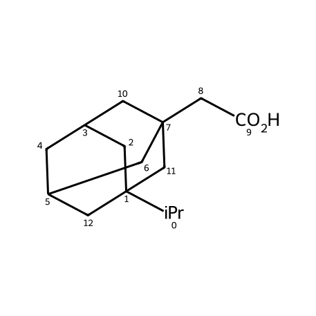 CC(C)C12CC3CC(CC(CC(=O)O)(C3)C1)C2